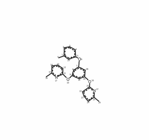 Cc1cccc(Oc2cc(Oc3cccc(C)n3)cc(Oc3cccc(C)n3)c2)c1